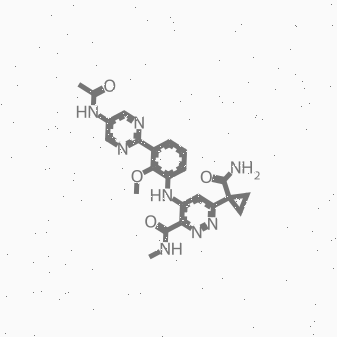 CNC(=O)c1nnc(C2(C(N)=O)CC2)cc1Nc1cccc(-c2ncc(NC(C)=O)cn2)c1OC